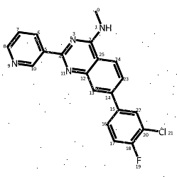 CNc1nc(-c2cccnc2)nc2cc(-c3ccc(F)c(Cl)c3)ccc12